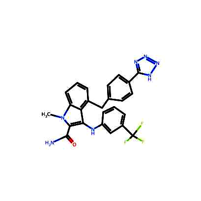 Cn1c(C(N)=O)c(Nc2cccc(C(F)(F)F)c2)c2c(Cc3ccc(-c4nnn[nH]4)cc3)cccc21